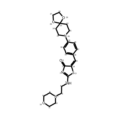 O=C1N=C(NCCN2CCOCC2)SC1=Cc1ccc(N2CCC3(CC2)OCCO3)cc1